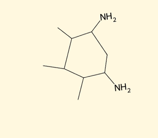 CC1C(N)CC(N)C(C)C1C